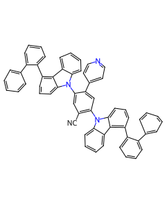 N#Cc1cc(-n2c3ccccc3c3c(-c4ccccc4-c4ccccc4)cccc32)c(-c2ccncc2)cc1-n1c2ccccc2c2c(-c3ccccc3-c3ccccc3)cccc21